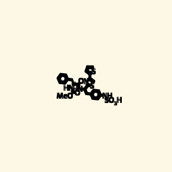 COC(=O)N[C@@H](Cc1ccccc1)C(=O)NC(Cc1ccc(NS(=O)(=O)O)cc1)c1nc(-c2cccs2)cs1